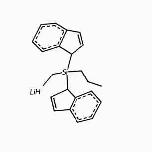 CCC[Si](CC)(C1C=Cc2ccccc21)C1C=Cc2ccccc21.[LiH]